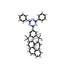 CC1(C)c2cc(-c3nc(-c4ccccc4)nc(-c4ccccc4)n3)cc3c2-c2c1cc1ccc4cccc5cc(c2c1c45)C3(C)C